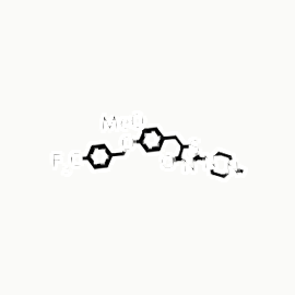 COc1cc(CC2SC(N3CCN(C)CC3)=NC2=O)ccc1OCc1ccc(C(F)(F)F)cc1